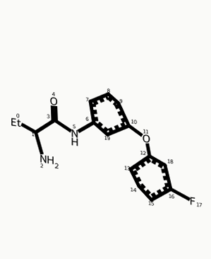 CCC(N)C(=O)Nc1cccc(Oc2cccc(F)c2)c1